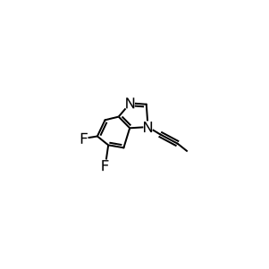 CC#Cn1cnc2cc(F)c(F)cc21